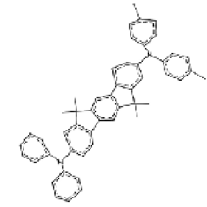 Cc1ccc(N(c2ccc(C)cc2)c2ccc3c(c2)C(C)(C)c2cc4c(cc2-3)C(C)(C)c2cc(N(c3ccccc3)c3ccccc3)ccc2-4)cc1